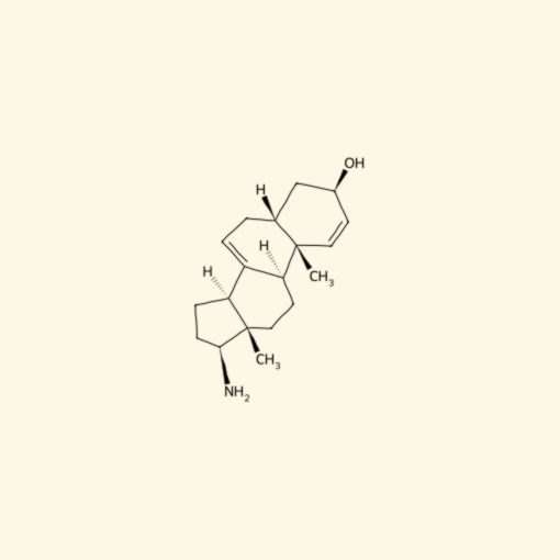 C[C@]12C=C[C@H](O)C[C@H]1CC=C1[C@@H]2CC[C@]2(C)[C@@H](N)CC[C@@H]12